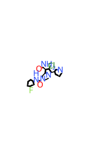 NC(=O)c1c(Cl)c(-c2cccnc2)n2c1CN(C(=O)Nc1cccc(F)c1)CC2